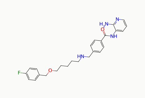 Nc1ncccc1NC(=O)c1ccc(CNCCCCCOCc2ccc(F)cc2)cc1